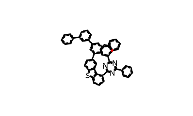 c1ccc(-c2cccc(-c3cc(-c4ccccc4)cc(-c4ccc5sc6cccc(-c7nc(-c8ccccc8)nc(-c8ccccc8)n7)c6c5c4)c3)c2)cc1